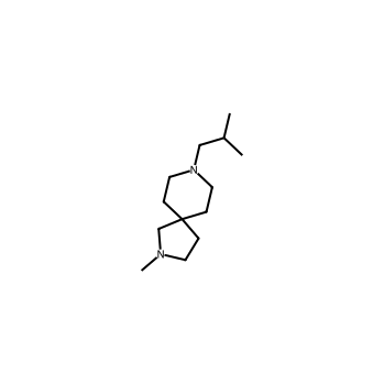 CC(C)CN1CCC2(CCN(C)C2)CC1